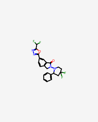 O=C1c2cc(-c3nnc(C(F)F)o3)ccc2CN1N1CCC(F)(F)CC1c1ccccc1